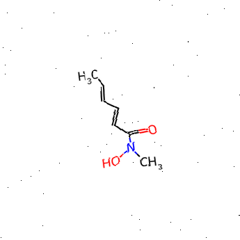 C/C=C/C=C/C(=O)N(C)O